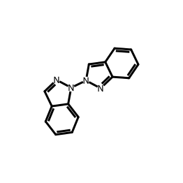 c1ccc2nn(-n3ncc4ccccc43)cc2c1